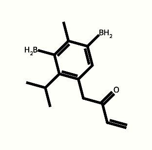 Bc1cc(CC(=O)C=C)c(C(C)C)c(B)c1C